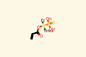 C=CC(=O)OS(CC)(CCCCCC)P(O)(O)=S